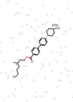 CCCCCCCCCC[C@]1(C#N)CC[C@H](c2ccc(-c3ccc(C(=O)OCC[C@H](C)CCCC(C)C)cc3)cc2)CC1